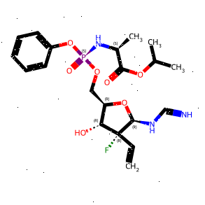 C=C[C@]1(F)[C@H](NC=N)O[C@H](CO[P@@](=O)(N[C@@H](C)C(=O)OC(C)C)Oc2ccccc2)[C@H]1O